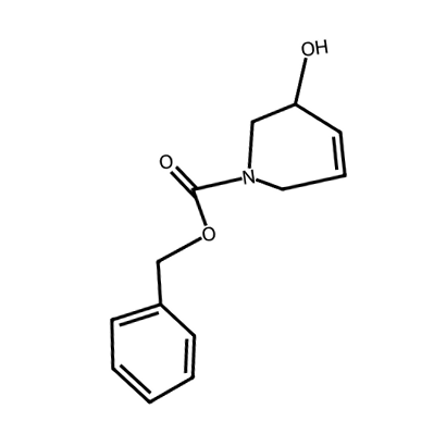 O=C(OCc1ccccc1)N1CC=CC(O)C1